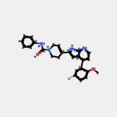 COc1ccc(F)cc1-c1ccnc2[nH]c(C3=CCN(C(=O)Nc4ccccc4)CC3)cc12